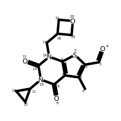 Cc1c(C=O)sc2c1c(=O)n(C1CC1)c(=O)n2CC1COC1